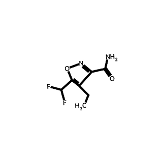 CCc1c(C(N)=O)noc1C(F)F